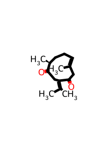 CC(C)=C1CC(=O)[C@@H](C)CC/C=C(\C)CC1=O